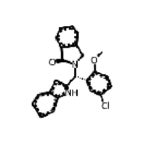 COc1ccc(Cl)cc1[C@H](c1cc2ccccc2[nH]1)N1Cc2ccccc2C1=O